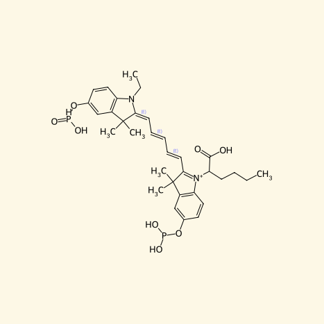 CCCCC(C(=O)O)[N+]1=C(/C=C/C=C/C=C2/N(CC)c3ccc(O[PH](=O)O)cc3C2(C)C)C(C)(C)c2cc(OP(O)O)ccc21